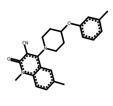 Cc1cccc(OC2CCN(c3c(C#N)c(=O)n(C)c4ccc(C)cc34)CC2)c1